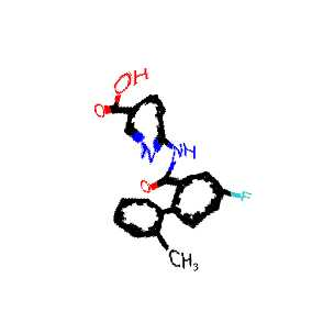 Cc1ccccc1-c1ccc(F)cc1C(=O)Nc1ccc(C(=O)O)cn1